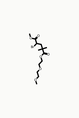 COCCOCCOC(=O)C(C)(C)CC(Br)C(=O)OC